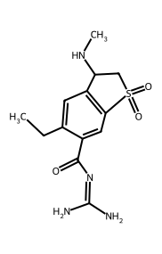 CCc1cc2c(cc1C(=O)N=C(N)N)S(=O)(=O)CC2NC